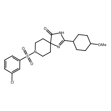 COC1CCC(C2=NC3(CCN(S(=O)(=O)c4cccc(Cl)c4)CC3)C(=O)N2)CC1